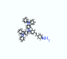 Nc1ccc(C=Cc2ccc(N(c3ccc4c(c3)c3ccccc3n4-c3ccccc3)c3ccc4c(c3)c3ccccc3n4-c3ccccc3)cc2)cc1